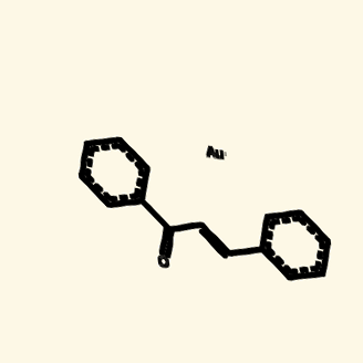 O=C(C=Cc1ccccc1)c1ccccc1.[Au]